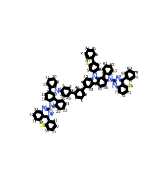 c1cc(-c2ccc(-n3c4ccccc4c4ccc5c(c6ccccc6n5-c5nc6c7c(cccc7n5)Sc5ccccc5-6)c43)cc2)cc(-c2ccc3c(c2)c2ccc4c(c5ccccc5n4-c4nc5c6c(cccc6n4)Sc4ccccc4-5)c2n3-c2ccc3c(c2)sc2ccccc23)c1